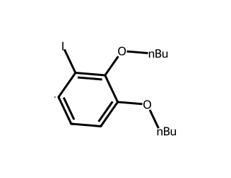 CCCCOc1cc[c]c(I)c1OCCCC